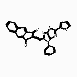 O=C1C(=Cc2nc3sc(-c4cccs4)nc3n2-c2ccccc2)C(=O)c2cc3ccccc3cc21